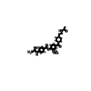 CC(=O)NCCN1CCN(C(=O)c2ccc(OC(=O)c3ccc(NC(=N)N)cc3)cc2)CC1.Cl.Cl